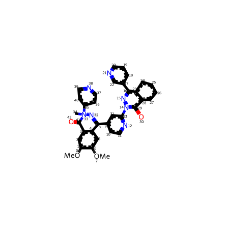 COc1cc2c(cc1OC)C(c1ccnc(-n3nc(-c4cccnc4)c4ccccc4c3=O)c1)=N[N+](C)(c1ccncc1)C2=O